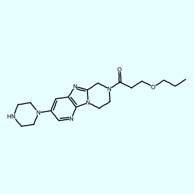 CCCOCCC(=O)N1CCn2c(nc3cc(N4CCNCC4)cnc32)C1